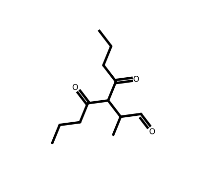 CCCC(=O)C(C(=O)CCC)C(C)C=O